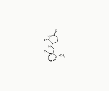 Cc1cccc(Cl)c1CNC1CCC(=O)NC1=O